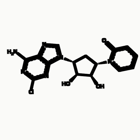 Nc1nc(Cl)nc2c1ncn2[C@@H]1C[C@H](n2ccccc2=O)[C@@H](O)[C@H]1O